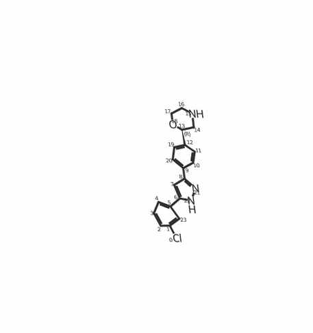 Clc1cccc(-c2cc(-c3ccc([C@@H]4CNCCO4)cc3)n[nH]2)c1